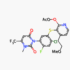 COCCc1ccnc(OOC(C)=O)c1Sc1cc(-n2c(=O)cc(C(F)(F)F)n(C)c2=O)c(F)cc1Cl